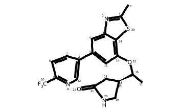 Cc1nc2cc(-c3ccc(C(F)(F)F)nc3)cc(OC(C)[C@H]3CNC(=O)C3)c2s1